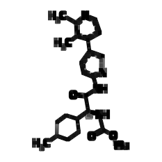 Cc1nccc(-c2ccc(NC(=O)[C@@H](NC(=O)OC(C)(C)C)C3CCC(C)CC3)nc2)c1C